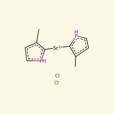 Cc1cc[pH][c]1[Sc+2][c]1[pH]ccc1C.[Cl-].[Cl-]